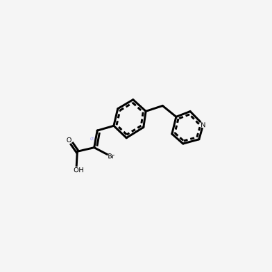 O=C(O)/C(Br)=C/c1ccc(Cc2cccnc2)cc1